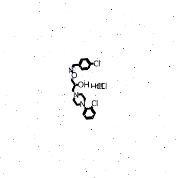 Cl.Cl.OC(CO/N=C\c1ccc(Cl)cc1)CN1CCN(c2ccccc2Cl)CC1